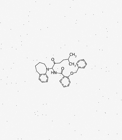 CC(C)CCC(=O)C(NC(=O)c1ccccc1OCc1ccccc1)N1CCCCc2ccccc21